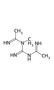 CC(=N)NC(=N)N(C)C(C)=N